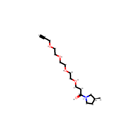 C#CCOCCOCCOCCOCCC(=O)N1CC[C@H](C)C1